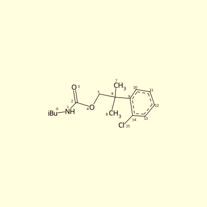 CCC(C)NC(=O)OCC(C)(C)c1ccccc1Cl